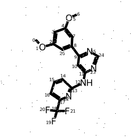 COc1cc(OC)cc(-c2cc(Nc3cccc(C(F)(F)F)n3)ncn2)c1